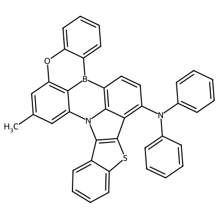 Cc1cc2c3c(c1)-n1c4c(ccc(N(c5ccccc5)c5ccccc5)c4c4sc5ccccc5c41)B3c1ccccc1O2